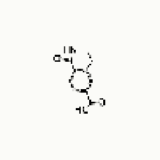 O=C(O)c1ccc2c(c1)CCNC2=O